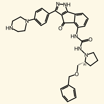 O=C(Nc1cccc2c1C(=O)c1c(-c3ccc(N4CCNCC4)cc3)n[nH]c1-2)NN1CCC[C@@H]1COCc1ccccc1